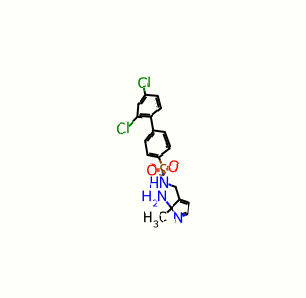 CC1(N)N=CC=C1CNS(=O)(=O)c1ccc(-c2ccc(Cl)cc2Cl)cc1